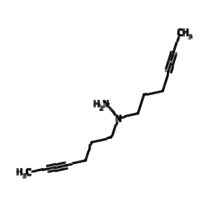 CC#CCCCN(N)CCCC#CC